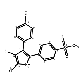 CS(=O)(=O)c1ccc(-c2[nH]c(Cl)c(Cl)c2-c2ccc(F)cc2)cc1